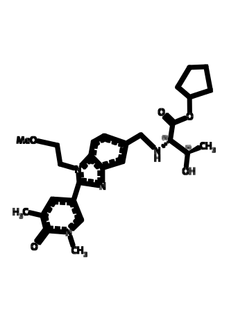 COCCn1c(-c2cc(C)c(=O)n(C)c2)nc2cc(CN[C@H](C(=O)OC3CCCC3)[C@@H](C)O)ccc21